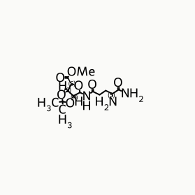 COC(=O)[C@H]1OC(NC(=O)CC[C@H](N)C(N)=O)[C@@H]2OC(C)(C)O[C@H]12